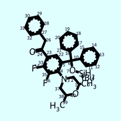 CC1CN(c2c(C(O[SiH2]C(C)(C)C)(c3ccccc3)c3ccccc3)cc(C(=O)Cc3ccccc3)c(F)c2F)CC(C)O1